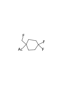 CC(=O)C1(CF)CCC(F)(F)CC1